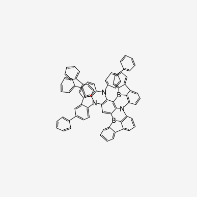 c1ccc(-c2ccc(N(c3ccc(-c4ccccc4)cc3)c3c(-n4c5ccc(-c6ccccc6)cc5c5cc(-c6ccccc6)ccc54)cc4c5c3B3c6ccccc6-c6cccc(c63)N5c3cccc5c3B4c3ccccc3-5)cc2)cc1